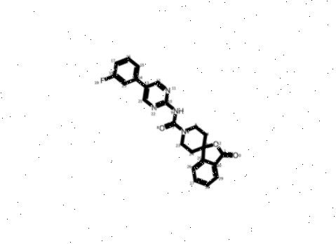 O=C1OC2(CCN(C(=O)Nc3ncc(-c4cccc(F)c4)cn3)CC2)c2ccccc21